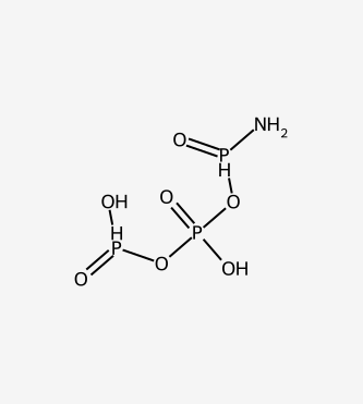 N[PH](=O)OP(=O)(O)O[PH](=O)O